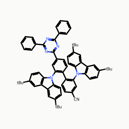 CC(C)(C)c1ccc2c(c1)c1cc(C(C)(C)C)ccc1n2-c1cc(C#N)ccc1-c1ccc(-c2nc(-c3ccccc3)nc(-c3ccccc3)n2)cc1-n1c2ccc(C(C)(C)C)cc2c2cc(C(C)(C)C)ccc21